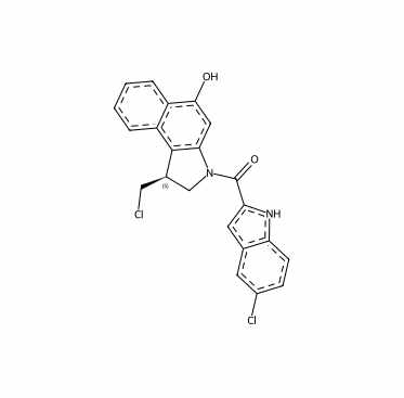 O=C(c1cc2cc(Cl)ccc2[nH]1)N1C[C@@H](CCl)c2c1cc(O)c1ccccc21